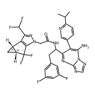 CC(C)c1ccc(-c2c(C(Cc3cc(F)cc(F)c3)NC(=O)Cn3nc(C(F)F)c4c3C(F)(F)[C@@H]3C[C@H]43)nc3ncnn3c2N)cn1